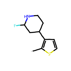 [CH2]c1sccc1C1CCNC(F)C1